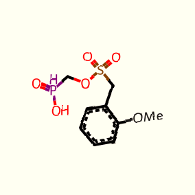 COc1ccccc1CS(=O)(=O)OC[PH](=O)O